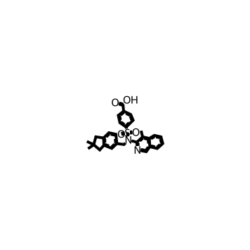 Cc1c(N(Cc2ccc3c(c2)CC(C)(C)C3)S(=O)(=O)c2ccc(C(=O)O)cc2)ncc2ccccc12